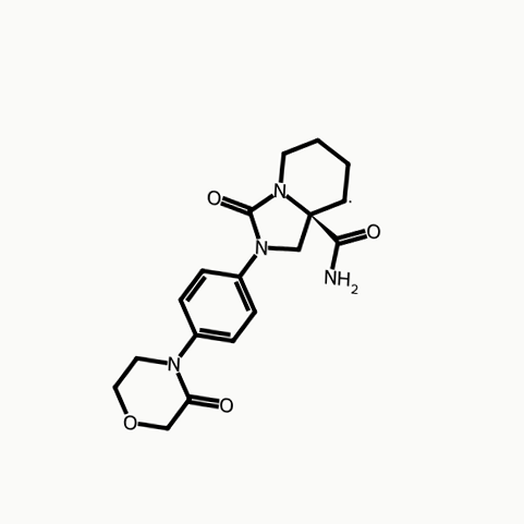 NC(=O)[C@]12[CH]CCCN1C(=O)N(c1ccc(N3CCOCC3=O)cc1)C2